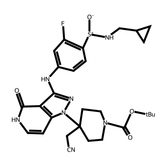 CC(C)(C)OC(=O)N1CCC(CC#N)(n2nc(Nc3ccc([S+]([O-])NCC4CC4)c(F)c3)c3c(=O)[nH]ccc32)CC1